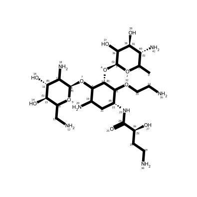 CC1O[C@@H](O[C@H]2C(O[C@H]3OC(CN)[C@@H](O)[C@H](O)C3N)C(N)C[C@@H](NC(=O)[C@@H](O)CCN)C2OCCN)C(O)[C@@H](O)[C@@H]1N